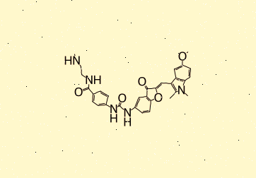 CNCCNC(=O)c1ccc(NC(=O)Nc2ccc3c(c2)C(=O)C(=Cc2c(C)n(C)c4ccc(OC)cc24)O3)cc1